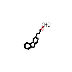 O=[C]OCCCc1ccc2c(c1)-c1ccccc1C2